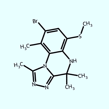 CSc1cc(Br)c(C)c2c1NC(C)(C)c1nnc(C)n1-2